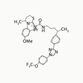 COc1ccc(N2/C(=N/C(=O)NCCCC(C)c3ccc(-c4ncn(-c5ccc(OC(F)(F)F)cc5)n4)cc3)SCCC2C)c(C(C)C)c1